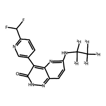 [2H]C([2H])([2H])C([2H])([2H])Nc1ccc2n[nH]c(=O)c(-c3ccc(C(F)F)nc3)c2n1